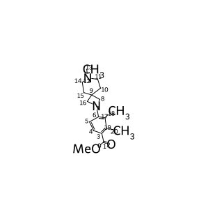 COC(=O)c1ccc(N2CC3(CCN(C)CC3)C2)c(C)c1C